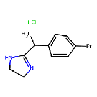 CCc1ccc(C(C)C2=NCCN2)cc1.Cl